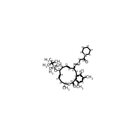 Cc1cc(C)c2c(c1Cl)CC(=NOCC(=O)N1CCCCC1)/C=C/C[C@H](O[Si](C)(C)C(C)(C)C)/C=C/C[C@@H](C)OC2=O